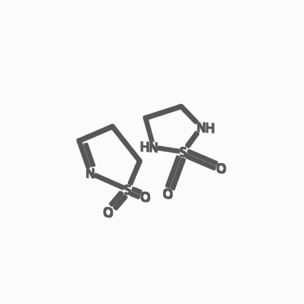 O=S1(=O)CCC=N1.O=S1(=O)NCCN1